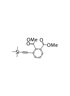 COC(=O)c1cccc(C#C[Si](C)(C)C)c1C(=O)OC